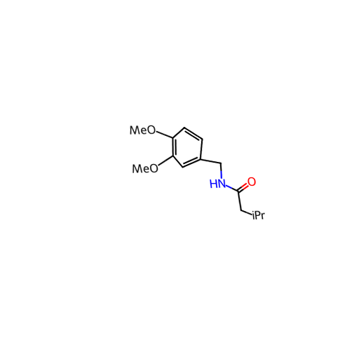 COc1ccc(CNC(=O)CC(C)C)cc1OC